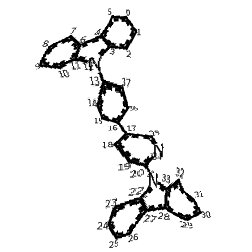 c1ccc2c(c1)c1ccccc1n2-c1ccc(-c2ccc(-n3c4ccccc4c4ccccc43)nc2)cc1